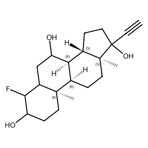 C#CC1(O)CC[C@H]2[C@@H]3C(O)CC4C(F)C(O)CC[C@]4(C)[C@@H]3CC[C@@]21C